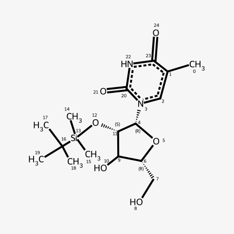 Cc1cn([C@@H]2O[C@H](CO)C(O)[C@@H]2O[Si](C)(C)C(C)(C)C)c(=O)[nH]c1=O